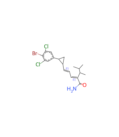 CC(C)C(C)/C(=C\C=C\C1CC1c1cc(Cl)c(Br)c(Cl)c1)C(N)=O